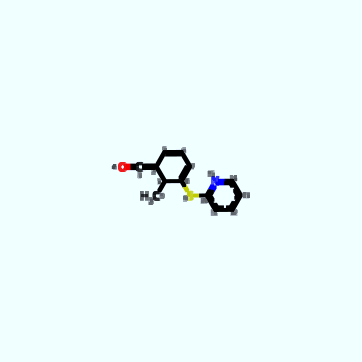 CC1C(=C=O)C=CC=C1Sc1ccccn1